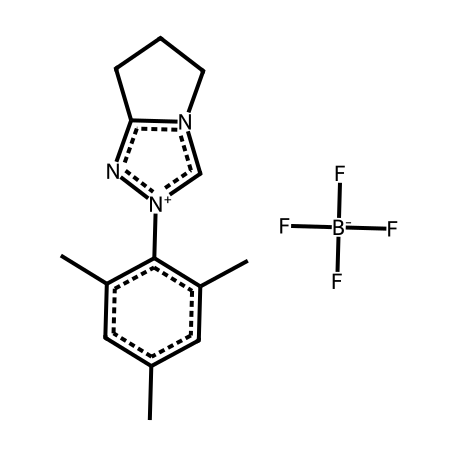 Cc1cc(C)c(-[n+]2cn3c(n2)CCC3)c(C)c1.F[B-](F)(F)F